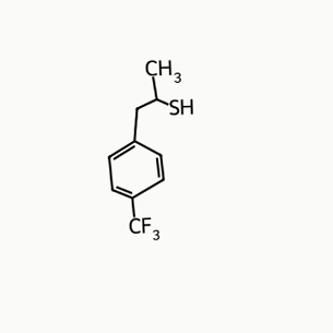 CC(S)Cc1ccc(C(F)(F)F)cc1